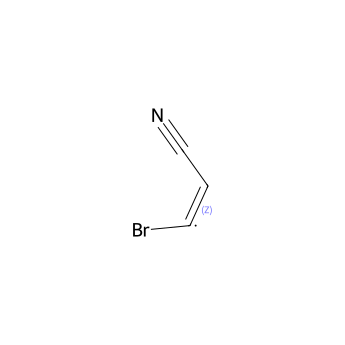 N#C/C=[C]\Br